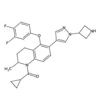 CC1CCc2c(ccc(-c3cnn(C4CNC4)c3)c2Oc2ccc(F)c(F)c2)N1C(=O)C1CC1